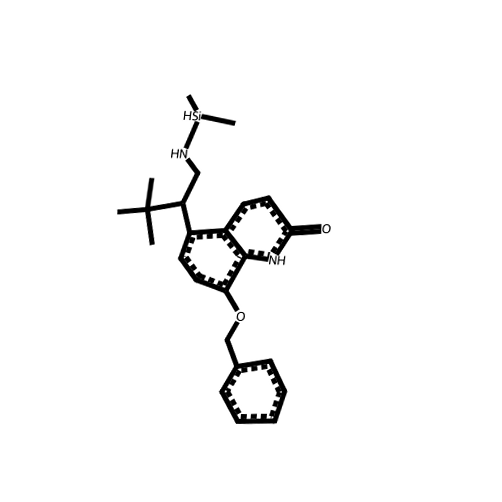 C[SiH](C)NCC(c1ccc(OCc2ccccc2)c2[nH]c(=O)ccc12)C(C)(C)C